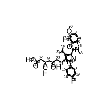 COc1ccc(CN(C)C(=O)c2nn(-c3ccc(F)cc3)c(CC[C@@H](O)C[C@@H](O)CC(=O)O)c2C(C)C)cc1F